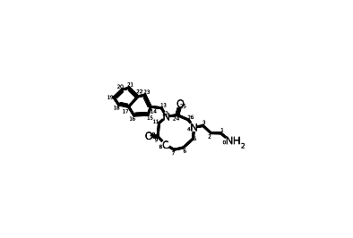 NCCCN1CCCCC(=O)CN(Cc2ccc3ccccc3c2)C(=O)C1